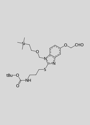 CC(C)(C)OC(=O)NCCCSc1nc2cc(OCC=O)ccc2n1COCC[Si](C)(C)C